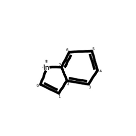 [CH]1=Cc2cccc[c]2[In]1